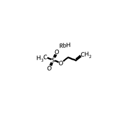 C=CCOS(C)(=O)=O.[RbH]